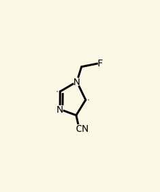 N#CC1[CH]N(CF)[C]=N1